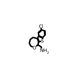 NCC1OCCCCc2c1sc1ccc(Cl)cc21